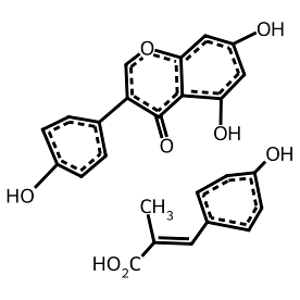 CC(=Cc1ccc(O)cc1)C(=O)O.O=c1c(-c2ccc(O)cc2)coc2cc(O)cc(O)c12